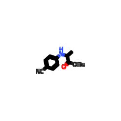 CC(C)COC(=O)C(C)Nc1ccc(C#N)cc1